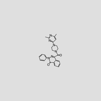 Cc1cc(N2CCN(C(=O)c3nn(-c4ccccc4)c(=O)c4ccccc34)CC2)nc(C)n1